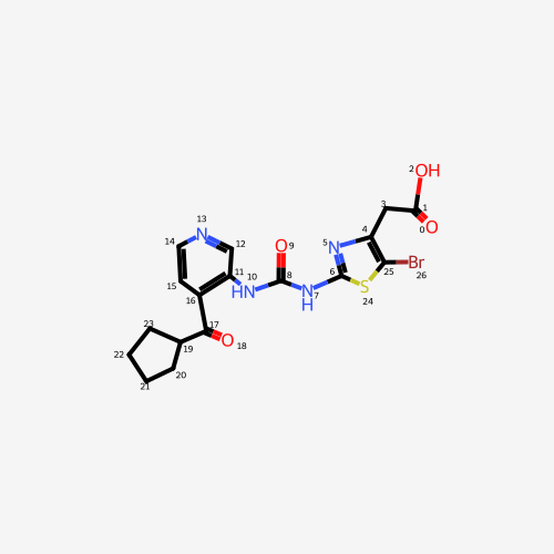 O=C(O)Cc1nc(NC(=O)Nc2cnccc2C(=O)C2CCCC2)sc1Br